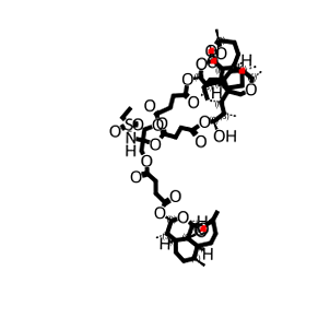 CCS(=O)(=O)NC(COC(=O)CCC(=O)O[C@H]1O[C@H]2OC3(C)CC[C@@H]4[C@@H](C)CC[C@H]([C@@H]1C)[C@]24OO3)(COC(=O)CCC(=O)O[C@H]1O[C@H]2O[C@@]3(C)CC[C@H]4[C@H](C)CC[C@H]([C@@H]1C)[C@@]24OO3)OC(=O)CCC(=O)O[C@H](O)[C@@H](C)[C@@H]1CCCC2CC[C@H](C)OCC21